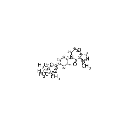 Cn1ncc2c1C(=O)N(c1ccc(B3OC(C)(C)C(C)(C)O3)cc1)CCO2